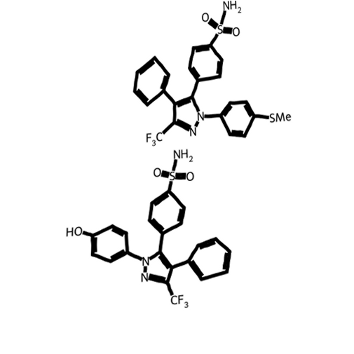 CSc1ccc(-n2nc(C(F)(F)F)c(-c3ccccc3)c2-c2ccc(S(N)(=O)=O)cc2)cc1.NS(=O)(=O)c1ccc(-c2c(-c3ccccc3)c(C(F)(F)F)nn2-c2ccc(O)cc2)cc1